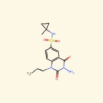 CC1(NS(=O)(=O)c2ccc3c(c2)c(=O)n(N)c(=O)n3CCC(F)(F)F)CC1